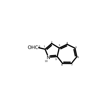 O=Cc1cc2cccccc-2n1